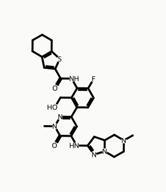 CN1CCN2N=C(Nc3cc(-c4ccc(F)c(NC(=O)c5cc6c(s5)CCCC6)c4CO)nn(C)c3=O)CC2C1